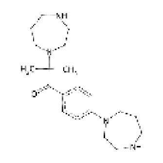 CC(C)(C(=O)c1ccc(N2CCCNCC2)cc1)N1CCCNCC1